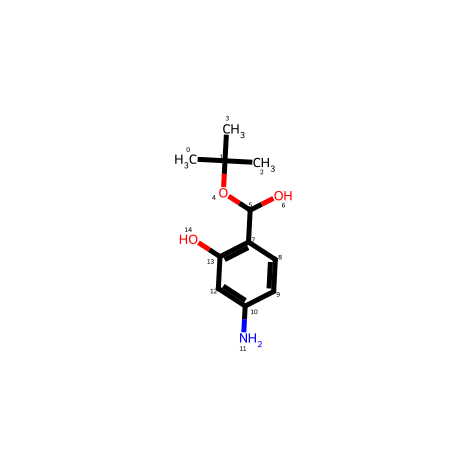 CC(C)(C)OC(O)c1ccc(N)cc1O